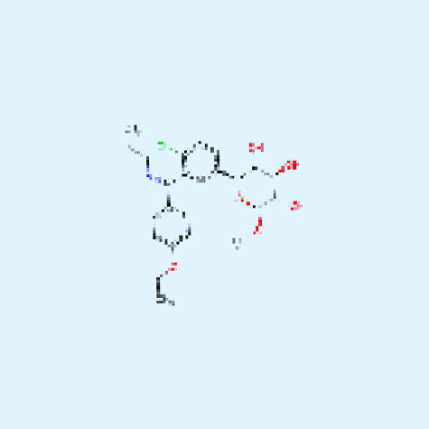 CCCN=C(c1ccc(OCC)cc1)c1cc([C@@H]2O[C@H](OC)[C@@H](O)[C@H](O)[C@H]2O)ccc1Cl